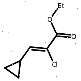 CCOC(=O)C(Cl)=CC1CC1